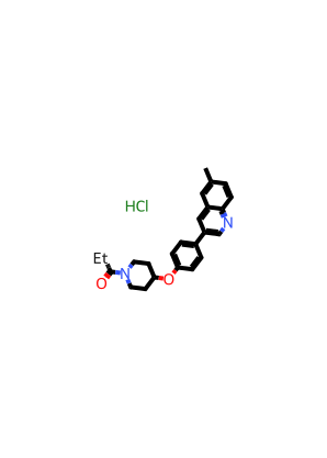 CCC(=O)N1CCC(Oc2ccc(-c3cnc4ccc(C)cc4c3)cc2)CC1.Cl